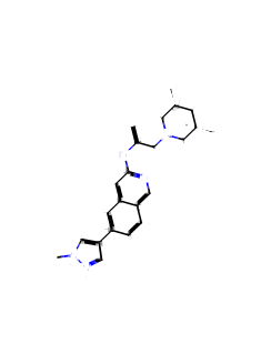 C=C(CN1C[C@H](C)C[C@H](C)C1)Nc1cc2cc(-c3cnn(C)c3)ccc2cn1